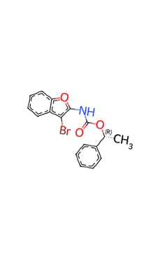 C[C@@H](OC(=O)Nc1oc2ccccc2c1Br)c1ccccc1